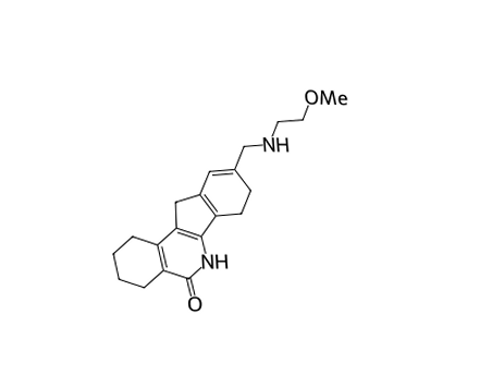 COCCNCC1=CC2=C(CC1)c1[nH]c(=O)c3c(c1C2)CCCC3